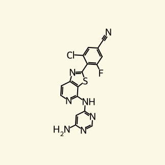 N#Cc1cc(F)c(-c2nc3ccnc(Nc4cc(N)ncn4)c3s2)c(Cl)c1